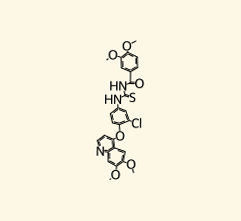 COc1ccc(C(=O)NC(=S)Nc2ccc(Oc3ccnc4cc(OC)c(OC)cc34)c(Cl)c2)cc1OC